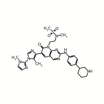 Cc1c(-c2cc3cnc(Nc4ccc(C5CCCNC5)cc4)nc3n(CCN(C)S(C)(=O)=O)c2=O)ncn1-c1nccn1C